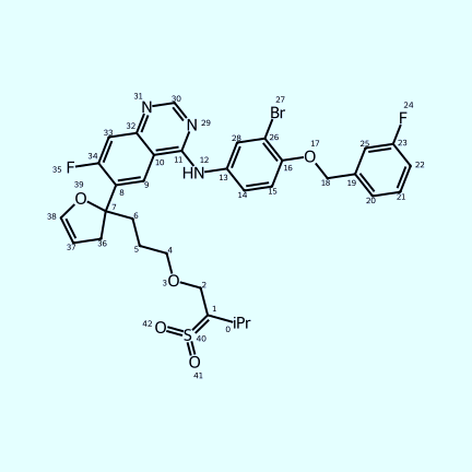 CC(C)C(COCCCC1(c2cc3c(Nc4ccc(OCc5cccc(F)c5)c(Br)c4)ncnc3cc2F)CC=CO1)=S(=O)=O